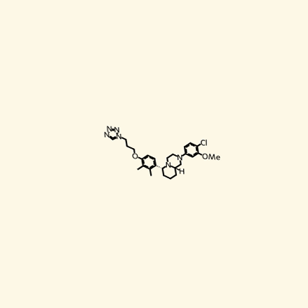 COc1cc(N2CCN3[C@@H](CCC[C@@H]3c3ccc(OCCCn4cnnn4)c(C)c3C)C2)ccc1Cl